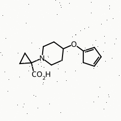 O=C(O)C1(N2CCC(OC3=CC=CC3)CC2)CC1